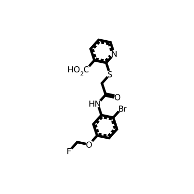 O=C(CSc1ncccc1C(=O)O)Nc1cc(OCF)ccc1Br